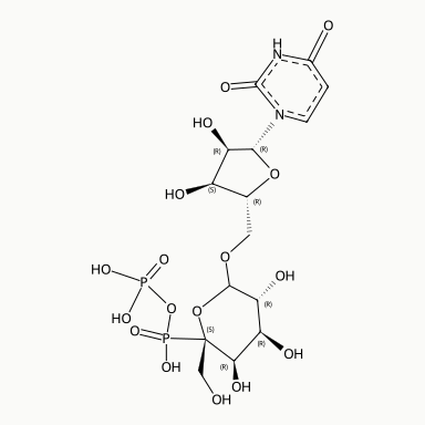 O=c1ccn([C@@H]2O[C@H](COC3O[C@@](CO)(P(=O)(O)OP(=O)(O)O)[C@H](O)[C@H](O)[C@H]3O)[C@@H](O)[C@H]2O)c(=O)[nH]1